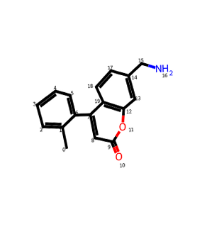 Cc1ccccc1-c1cc(=O)oc2cc(CN)ccc12